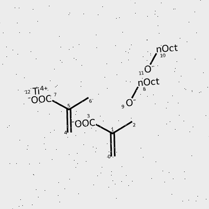 C=C(C)C(=O)[O-].C=C(C)C(=O)[O-].CCCCCCCC[O-].CCCCCCCC[O-].[Ti+4]